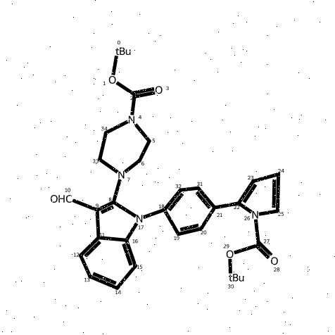 CC(C)(C)OC(=O)N1CCN(c2c(C=O)c3ccccc3n2-c2ccc(-c3cccn3C(=O)OC(C)(C)C)cc2)CC1